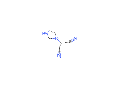 N#CC(C#N)N1CCNC1